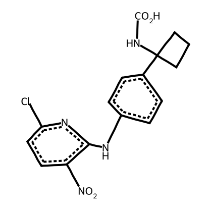 O=C(O)NC1(c2ccc(Nc3nc(Cl)ccc3[N+](=O)[O-])cc2)CCC1